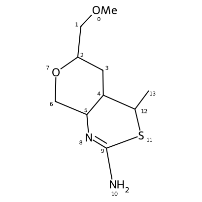 COCC1CC2C(CO1)N=C(N)SC2C